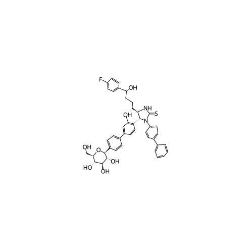 OC[C@H]1O[C@@H](c2ccc(-c3ccc([C@@H]4[C@@H](CCCC(O)c5ccc(F)cc5)NC(=S)N4c4ccc(-c5ccccc5)cc4)c(O)c3)cc2)[C@H](O)[C@@H](O)[C@@H]1O